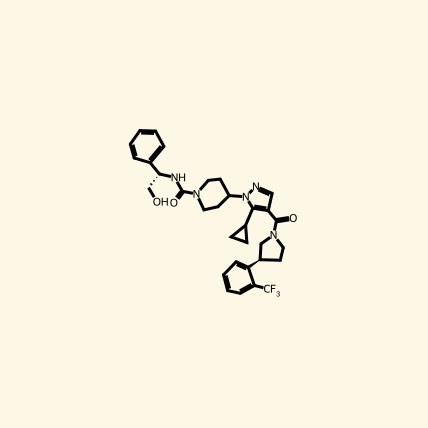 O=C(N[C@H](CO)c1ccccc1)N1CCC(n2ncc(C(=O)N3CC[C@@H](c4ccccc4C(F)(F)F)C3)c2C2CC2)CC1